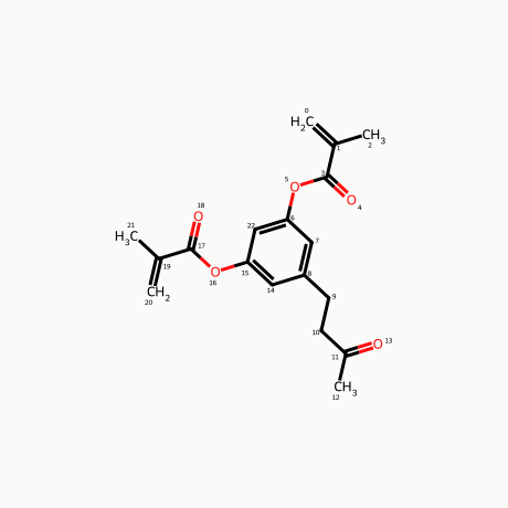 C=C(C)C(=O)Oc1cc(CCC(C)=O)cc(OC(=O)C(=C)C)c1